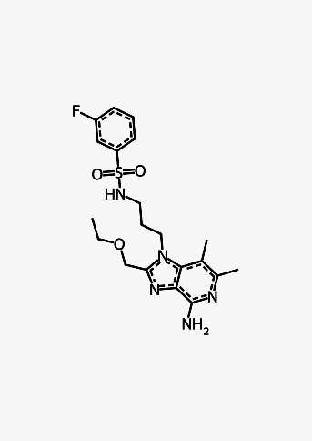 CCOCc1nc2c(N)nc(C)c(C)c2n1CCCNS(=O)(=O)c1cccc(F)c1